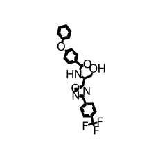 O=C(NC(CO)c1nc(-c2ccc(C(F)(F)F)cc2)no1)c1ccc(Oc2ccccc2)cc1